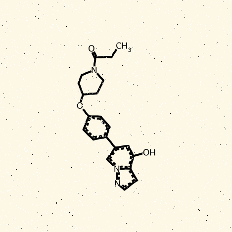 CCC(=O)N1CCC(Oc2ccc(-c3cc(O)c4ccnn4c3)cc2)CC1